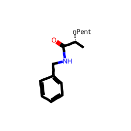 CCCCC[C@H](C)C(=O)NCc1ccccc1